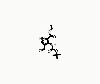 CCOC(=O)c1[nH]cc(C=O)c1NC(=O)OC(C)(C)C